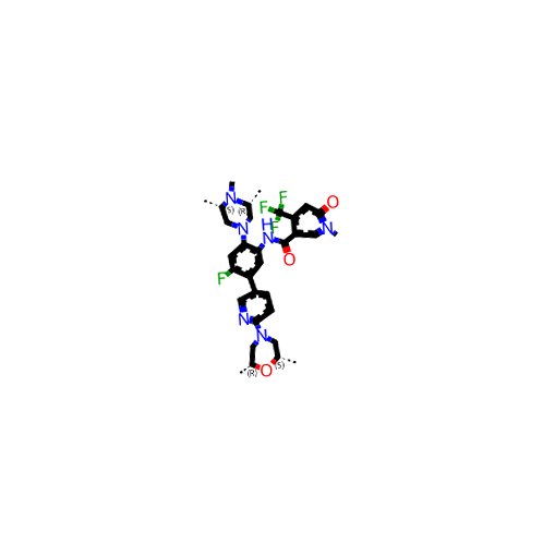 C[C@@H]1CN(c2ccc(-c3cc(NC(=O)c4cn(C)c(=O)cc4C(F)(F)F)c(N4C[C@@H](C)N(C)[C@@H](C)C4)cc3F)cn2)C[C@H](C)O1